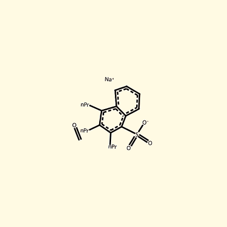 C=O.CCCc1c(CCC)c(S(=O)(=O)[O-])c2ccccc2c1CCC.[Na+]